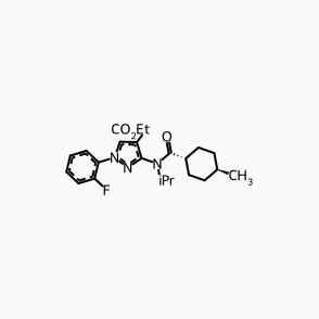 CCOC(=O)c1cn(-c2ccccc2F)nc1N(C(=O)[C@H]1CC[C@H](C)CC1)C(C)C